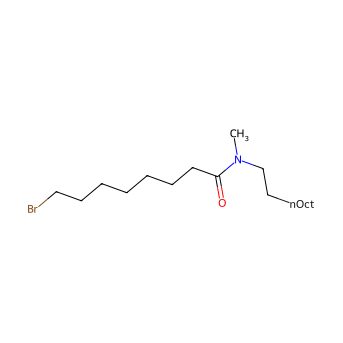 CCCCCCCCCCN(C)C(=O)CCCCCCCBr